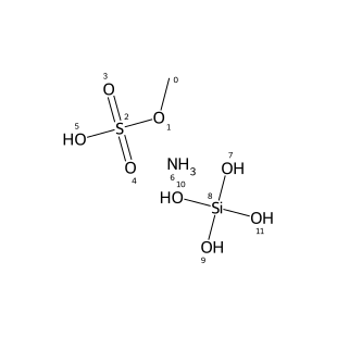 COS(=O)(=O)O.N.O[Si](O)(O)O